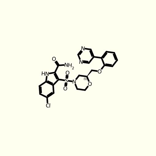 NC(=O)c1[nH]c2ccc(Cl)cc2c1S(=O)(=O)N1CCO[C@H](COc2ccccc2-c2cncnc2)C1